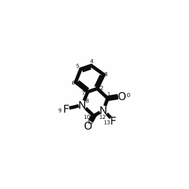 O=c1c2ccccc2n(F)c(=O)n1F